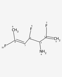 C=C(F)C(N)C(F)/C=C(\C)F